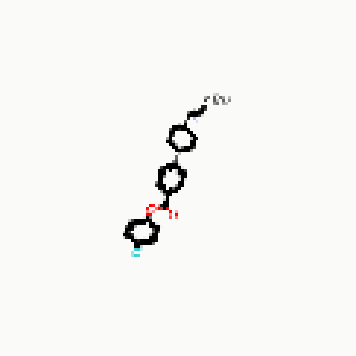 CCCC/C=C/[C@H]1CC[C@H](c2ccc(C(=O)Oc3ccc(F)cc3)cc2)CC1